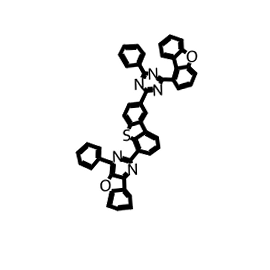 c1ccc(-c2nc(-c3ccc4sc5c(-c6nc(-c7ccccc7)c7oc8ccccc8c7n6)cccc5c4c3)nc(-c3cccc4oc5ccccc5c34)n2)cc1